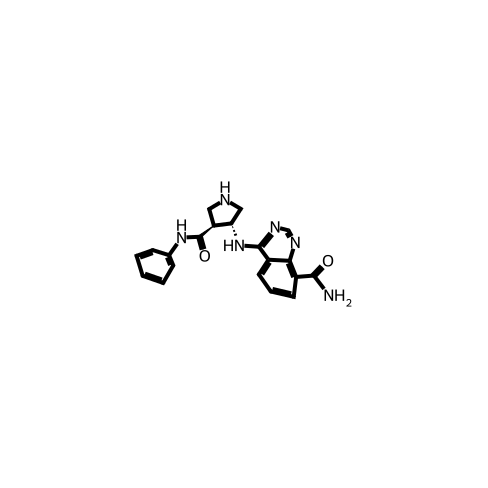 NC(=O)c1cccc2c(N[C@H]3CNC[C@@H]3C(=O)Nc3ccccc3)ncnc12